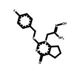 N/C(Cn1c(SCc2ccc(F)cc2)nc(=O)c2c1CCC2)=N\O